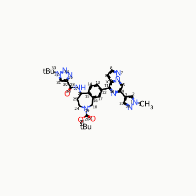 Cn1cc(-c2cn3nccc3c(-c3ccc4c(c3)CN(C(=O)OC(C)(C)C)CC[C@H]4NC(=O)c3cn(C(C)(C)C)nn3)n2)cn1